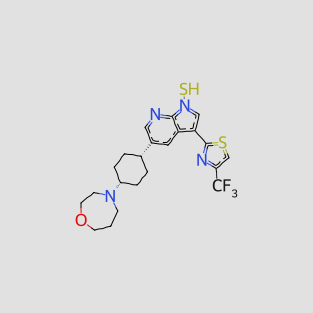 FC(F)(F)c1csc(-c2cn(S)c3ncc([C@H]4CC[C@@H](N5CCCOCC5)CC4)cc23)n1